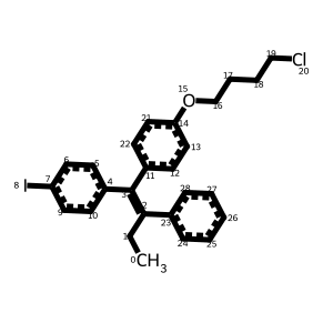 CC/C(=C(\c1ccc(I)cc1)c1ccc(OCCCCCl)cc1)c1ccccc1